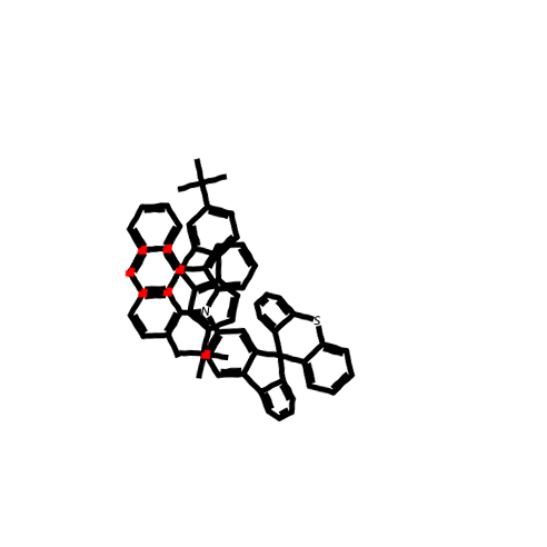 Cc1ccc2c(c1N(c1ccc3c(c1)C1(c4ccccc4Sc4ccccc41)c1ccccc1-3)c1ccccc1-c1ccccc1)C1(c3ccccc3S2)c2cc(C(C)(C)C)ccc2-c2ccc(C(C)(C)C)cc21